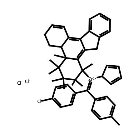 Cc1ccc([C](c2ccc(Cl)cc2)=[Zr+2]([CH]2C=CC=C2)[C]2(C)C3=C4Cc5ccccc5C4=C4C=CCCC4C3(C)C(C)(C)C(C)(C)C2(C)C)cc1.[Cl-].[Cl-]